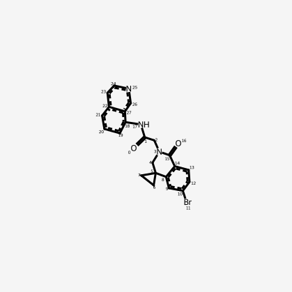 O=C(CN1CC2(CC2)c2cc(Br)ccc2C1=O)Nc1cccc2ccncc12